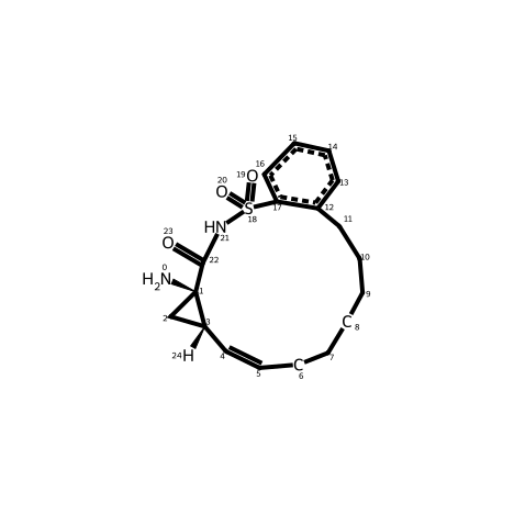 N[C@]12C[C@H]1/C=C\CCCCCCc1ccccc1S(=O)(=O)NC2=O